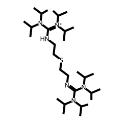 CC(C)N(C(=NCCSCCNC(N(C(C)C)C(C)C)=[N+](C(C)C)C(C)C)N(C(C)C)C(C)C)C(C)C